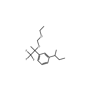 CCOCOC(C)(c1cccc(C(C)CC)c1)C(F)(F)F